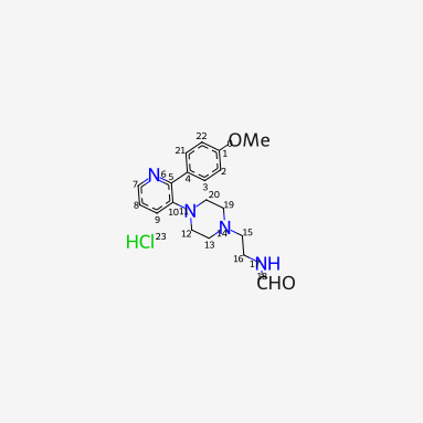 COc1ccc(-c2ncccc2N2CCN(CCNC=O)CC2)cc1.Cl